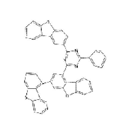 c1ccc(-c2nc(-c3ccc4sc5ccccc5c4c3)nc(-c3cc(-c4cccc5sc6ccccc6c45)cc4oc5ccccc5c34)n2)cc1